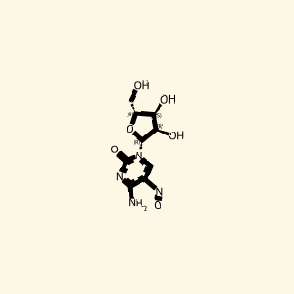 Nc1nc(=O)n([C@@H]2O[C@H](CO)[C@@H](O)[C@H]2O)cc1N=O